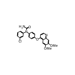 COc1cc2nccc(Oc3ccc(N(C(N)=O)c4cccc(Cl)c4)cc3)c2cc1OC